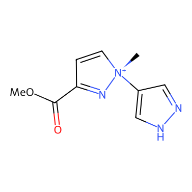 COC(=O)C1=N[N@@+](C)(c2cn[nH]c2)C=C1